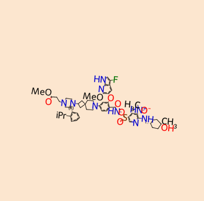 COC(=O)CCN1CCN(C2CC3(CCN(c4ccc(C(=O)NOS(=O)c5cnc(NC[C@H]6CC[C@](C)(O)CC6)c([NH+](C)[O-])c5)c(Oc5cc6c(F)c[nH]c6nc5OC)c4)CC3)C2)[C@H](c2ccccc2C(C)C)C1